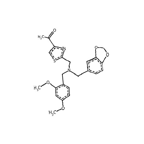 COc1ccc(CN(Cc2ccc3c(c2)OCO3)Cc2nc(C(C)=O)cs2)c(OC)c1